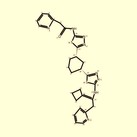 O=C(Cc1ccccn1)Nc1nnc([C@H]2CCC[C@@H](c3nnc(NC(Cc4ccccn4)=C4CCC4)s3)C2)s1